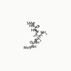 CSNC(=O)N/N=C(\C)C(=CN)/C(C)=N/NC(=O)NSC